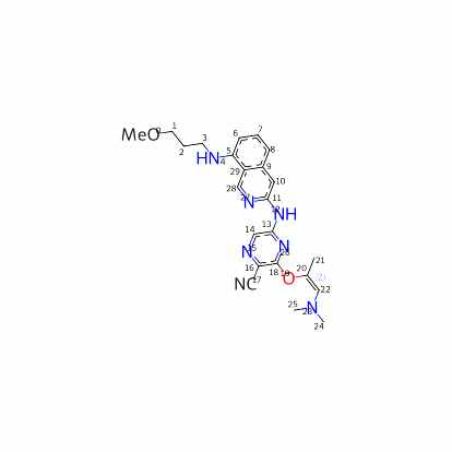 COCCCNc1cccc2cc(Nc3cnc(C#N)c(O/C(C)=C\N(C)C)n3)ncc12